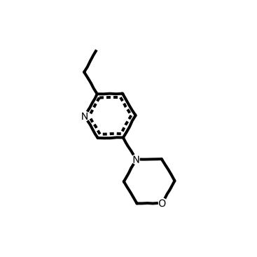 CCc1ccc(N2CCOCC2)cn1